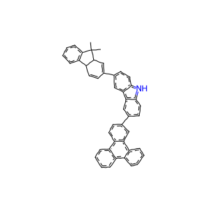 CC1(C)c2ccccc2C2C=CC(c3ccc4[nH]c5ccc(-c6ccc7c8ccccc8c8ccccc8c7c6)cc5c4c3)=CC21